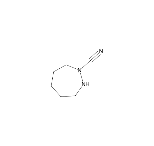 N#CN1CCCCCN1